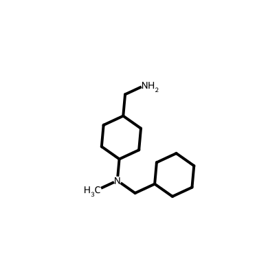 CN(CC1CCCCC1)C1CCC(CN)CC1